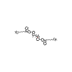 CC1=Cc2c(-c3ccc4c(c3)c3ccccc3n4CCCCCCOC(C)(C)C)cccc2C1[Si](C)(C)C1C(C)=Cc2c(-c3ccc4c(c3)c3ccccc3n4CCCCCCOC(C)(C)C)cccc21